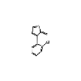 C=C1N=CC=C1c1ccccc1Cl